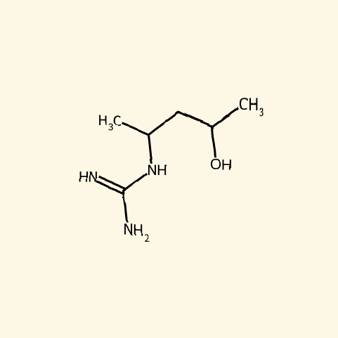 CC(O)CC(C)NC(=N)N